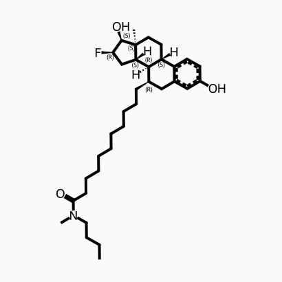 CCCCN(C)C(=O)CCCCCCCCCC[C@@H]1Cc2cc(O)ccc2[C@H]2CC[C@]3(C)[C@H](O)[C@H](F)C[C@H]3[C@H]12